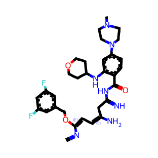 C=N/C(=C\C=C(\N)CC(=N)NC(=O)c1ccc(N2CCN(C)CC2)cc1NC1CCOCC1)OCc1cc(F)cc(F)c1